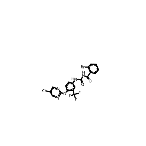 O=C(NC(=O)c1ccccc1Br)Nc1ccc(Oc2ncc(Cl)cn2)c(C(F)(F)F)c1